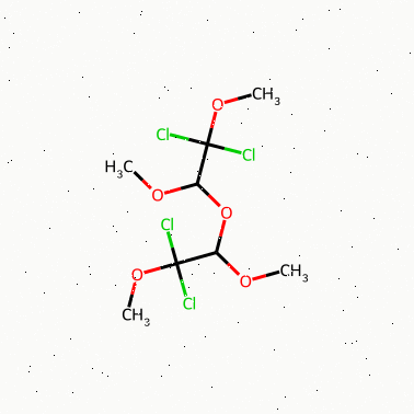 COC(OC(OC)C(Cl)(Cl)OC)C(Cl)(Cl)OC